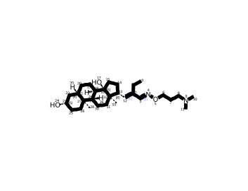 CCC(/C=N/OCCCN(C)C)=C\[C@H]1CC[C@]2(O)[C@@H]3CC[C@@H]4C[C@@H](O)CC[C@]4(C)[C@H]3CC[C@]12C